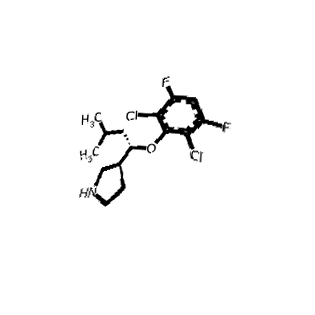 CC(C)C[C@H](Oc1c(Cl)c(F)cc(F)c1Cl)[C@H]1CCNC1